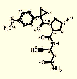 C#C[C@H](CC(N)=O)NC(=O)[C@@H]1C[C@@H](F)CN1C(=O)C1(c2ccc(OC(F)(F)F)cc2)CC1